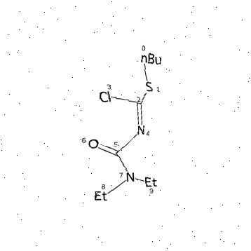 CCCCSC(Cl)=NC(=O)N(CC)CC